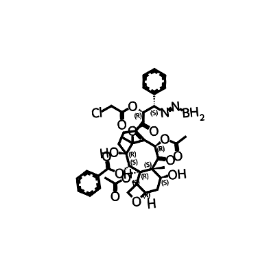 BN=N[C@@H](c1ccccc1)[C@@H](OC(=O)CCl)C(=O)OC1(C)C2=C(C)CC[C@@]1(O)[C@@H](OC(=O)c1ccccc1)[C@@H]1[C@]3(OC(C)=O)CO[C@@H]3C[C@H](O)[C@@]1(C)C(=O)[C@@H]2OC(C)=O